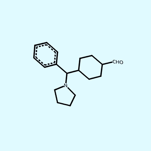 O=CC1CCC(C(c2ccccc2)N2CCCC2)CC1